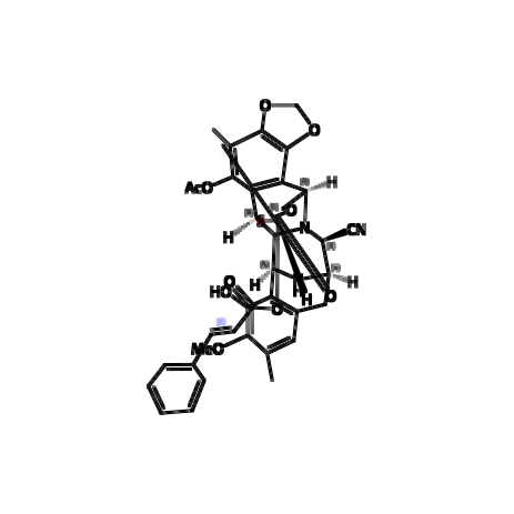 COc1c(C)cc2c(c1O)[C@@H]1N[C@H](C2)[C@H](C#N)N2C1[C@@H]1SC[C@H](OC(=O)/C=C/c3ccccc3)C(=O)OC[C@H]2c2c3c(c(C)c(OC(C)=O)c21)OCO3